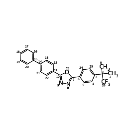 CC(C)(c1ccc(-c2nnc(-c3ccc(-c4ccccc4)cc3)o2)cc1)C(F)(F)F